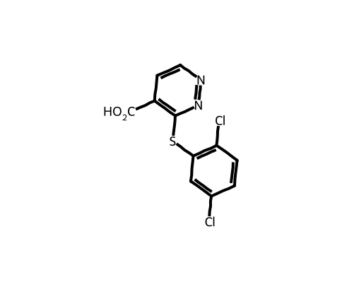 O=C(O)c1ccnnc1Sc1cc(Cl)ccc1Cl